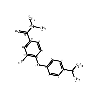 CC(C)c1ccc(Oc2ccc(C(=O)N(C)C)cc2F)cc1